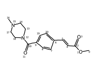 COC(=O)/C=C/c1ccc(C(=O)N2CCN(C)CC2)cc1